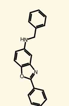 c1ccc(CNc2ccc3oc(-c4ccccc4)nc3c2)cc1